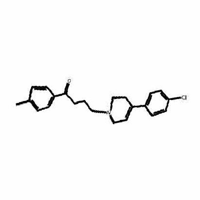 Cc1ccc(C(=O)CCCN2CC=C(c3ccc(Cl)cc3)CC2)cc1